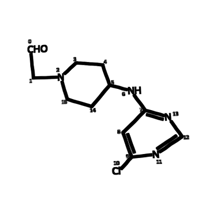 O=CCN1CCC(Nc2cc(Cl)ncn2)CC1